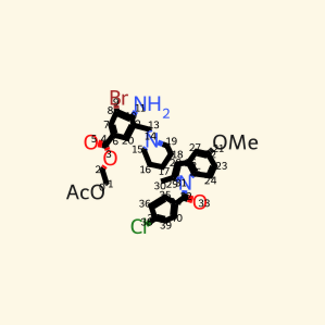 CC(=O)OCCOC(=O)c1cc(Br)c(N)c(CN2CCCCC2)c1.COc1ccc2c(c1)cc(C)n2C(=O)c1ccc(Cl)cc1